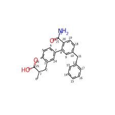 CC(Cc1cccc(-c2cc(Cc3ccccc3)ccc2C(N)=O)c1)C(=O)O